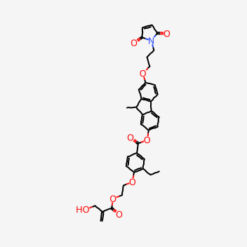 C=C(CO)C(=O)OCCOc1ccc(C(=O)Oc2ccc3c(c2)C(C)c2cc(OCCCN4C(=O)C=CC4=O)ccc2-3)cc1CC